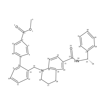 COC(=O)c1ccc(-c2ccccc2CN2CCCc3cc(C(=O)N[C@@H](C)c4ccccc4)ccc32)cc1